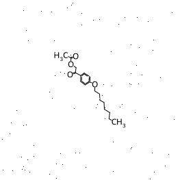 CCCCCCCCOc1ccc(C(=O)COC(C)=O)cc1